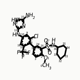 COc1ccc(-c2c(Cl)cc(Nc3n[nH]c(N)n3)cc2C(F)(F)F)cc1S(=O)(=O)NC1CCCCC1